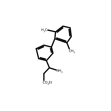 CCOC(=O)CC(N)c1cccc(-c2c(C)cccc2C)c1